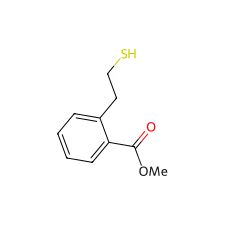 COC(=O)c1ccccc1CCS